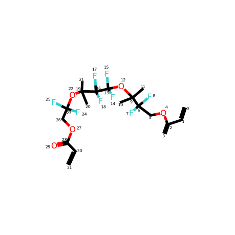 C=CC(=C)OCC(F)(F)C(C)(C)OC(F)(F)C(F)(F)C(C)(C)OC(F)(F)COC(=O)C=C